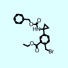 CCOC(=O)c1cc(C2(NC(=O)OCc3ccccc3)CC2)ccc1CBr